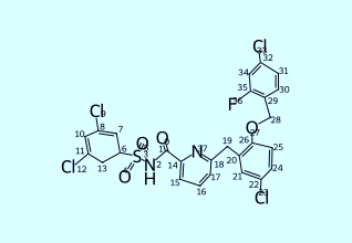 O=C(NS(=O)(=O)C1C=C(Cl)C=C(Cl)C1)c1cccc(Cc2cc(Cl)ccc2OCc2ccc(Cl)cc2F)n1